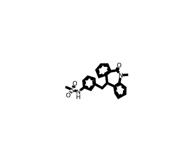 CN1C(=O)c2ccccc2C(Cc2cccc(NS(C)(=O)=O)c2)c2ccccc21